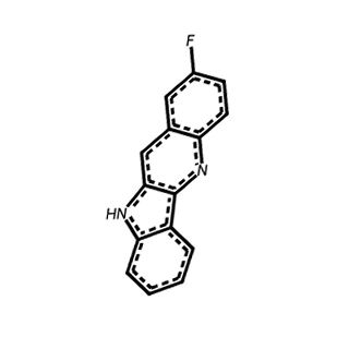 Fc1ccc2nc3c(cc2c1)[nH]c1ccccc13